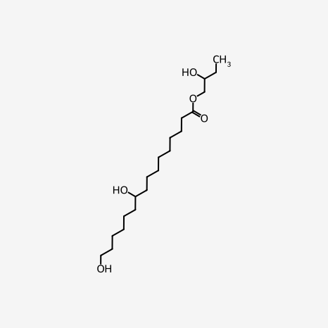 CCC(O)COC(=O)CCCCCCCCC(O)CCCCCCO